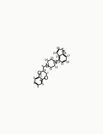 c1ccc2c(c1)OCC(CN1CCN(c3cccc4sccc34)CC1)O2